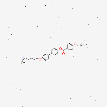 CC/C=C\CCCCOc1ccc(-c2ccc(OC(=O)c3ccc(OC[C@@H](C)CC)cc3)cc2)cc1